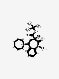 CN1C(=O)C(N)(C(=O)OC(C)(C)C)CC(N2CCCCCC2)c2ccccc21